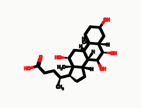 C[C@H](CCC(=O)O)[C@H]1CC[C@H]2[C@@H]3[C@H](O)[C@@H](O)[C@@H]4C[C@H](O)CC[C@]4(C)[C@H]3C[C@@H](O)[C@]12C